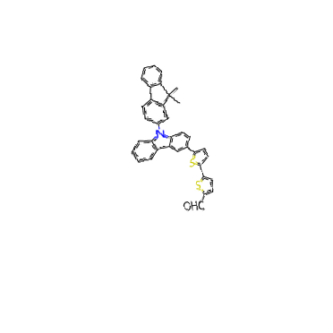 CC1(C)c2ccccc2-c2ccc(-n3c4ccccc4c4cc(-c5ccc(-c6ccc(C=O)s6)s5)ccc43)cc21